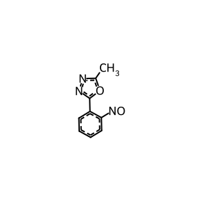 Cc1nnc(-c2ccccc2N=O)o1